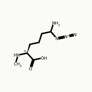 CN[C@@H](CCCC(N)N=[N+]=[N-])C(=O)O